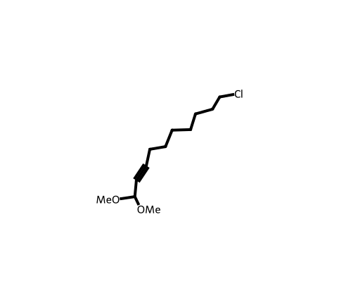 COC(C#CCCCCCCCCl)OC